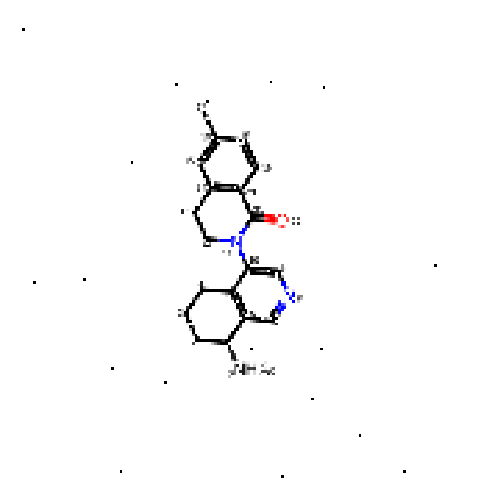 CC(=O)N[C@H]1CCCc2c1cncc2N1CCc2cc(C)ccc2C1=O